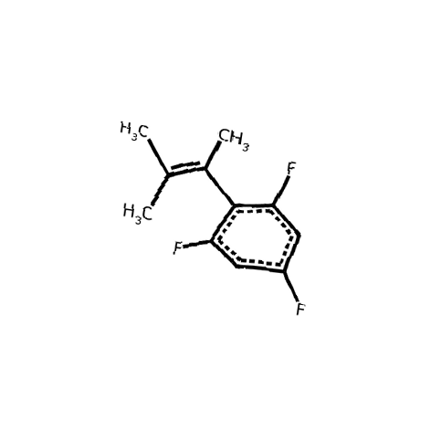 CC(C)=C(C)c1c(F)cc(F)cc1F